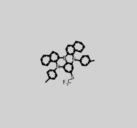 Cc1ccc(N2c3cc(SC(F)(F)F)cc4c3B(c3ccc5ccccc5c32)c2ccc3ccccc3c2N4c2ccc(C)cc2)cc1